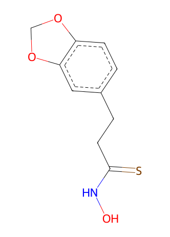 ONC(=S)CCc1ccc2c(c1)OCO2